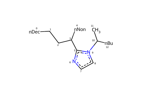 CCCCCCCCCCCCC(CCCCCCCCC)c1nccn1C(C)CCCC